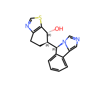 O[C@H]1c2scnc2CC[C@@H]1[C@@H]1c2ccccc2-c2cncn21